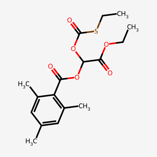 CCOC(=O)C(OC(=O)SCC)OC(=O)c1c(C)cc(C)cc1C